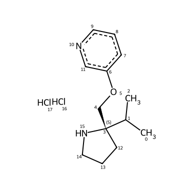 CC(C)[C@]1(COc2cccnc2)CCCN1.Cl.Cl